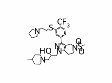 CC1CCN(CC(O)Cn2nc(-c3ccc(C(F)(F)F)c(SCCN4CCCC4)c3)c3c2CCN(S(C)(=O)=O)C3)CC1